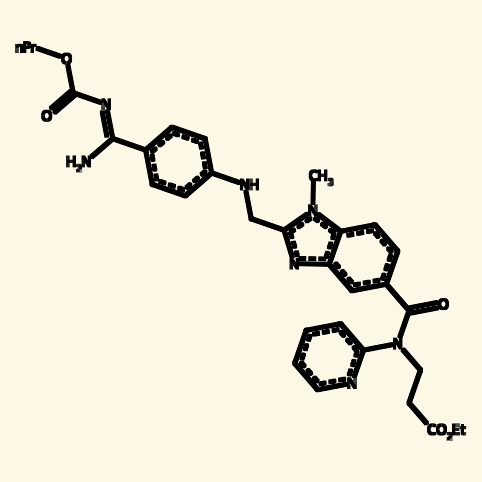 CCCOC(=O)/N=C(\N)c1ccc(NCc2nc3cc(C(=O)N(CCC(=O)OCC)c4ccccn4)ccc3n2C)cc1